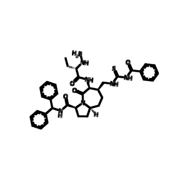 BN[C@@H](CC)C(=O)N[C@@H]1C(=O)N2[C@@H](CC[C@@H]1CNC(=S)NC(=O)c1ccccc1)CC[C@H]2C(=O)NC(c1ccccc1)c1ccccc1